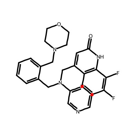 O=c1cc(CN(Cc2ccccc2CN2CCOCC2)c2cnccn2)c2ccc(F)c(F)c2[nH]1